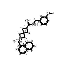 COc1cccc(CNC(=O)C2CC3(C2)CN([C@H](C)c2cccc4ccccc24)C3)c1